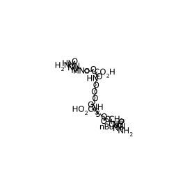 CCCCc1nc2c(N)nc3ccccc3c2n1CC(C)(C)COC(=O)OCCSSC[C@H](NC(=O)CCOCCOCCOCCNC(=O)C(CC(=O)c1ccc(NCc2cnc3nc(N)[nH]c(=O)c3n2)cc1)C(=O)O)C(=O)O